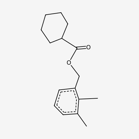 Cc1cccc(COC(=O)C2CCCCC2)c1C